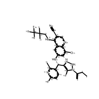 C=C(CC)N1NNC([C@@H](Nc2cc(Cl)c3ncc(C#N)c(NCC(C)(C)C(F)(F)F)c3c2)c2ccc(F)nc2C)=C1F